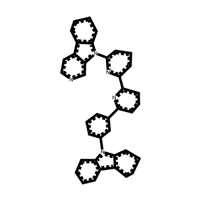 c1cc(-c2cccc(-c3cccc(-n4c5ccccc5c5ccncc54)n3)n2)cc(-n2c3ccccc3c3ccccc32)c1